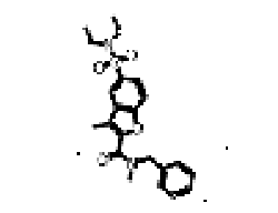 CCN(CC)S(=O)(=O)c1ccc2oc(C(=O)N(C)Cc3ccccc3)c(C)c2c1